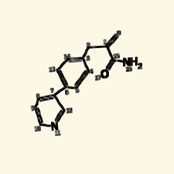 C=C(Cc1ccc(-c2cccnc2)cc1)C(N)=O